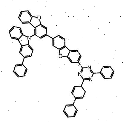 C1=CC(c2nc(-c3ccccc3)nc(-c3ccc4c(c3)oc3cc(-c5cc(-n6c7ccccc7c7cc(-c8ccccc8)ccc76)c6c(c5)oc5ccccc56)ccc34)n2)CC=C1c1ccccc1